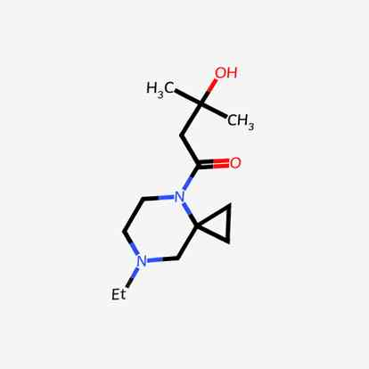 CCN1CCN(C(=O)CC(C)(C)O)C2(CC2)C1